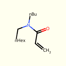 C=CC(=O)N(CCCC)CCCCCCC